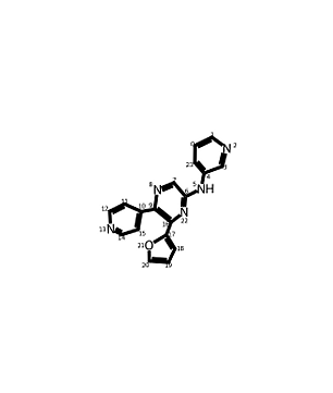 c1cncc(Nc2cnc(-c3ccncc3)c(-c3ccco3)n2)c1